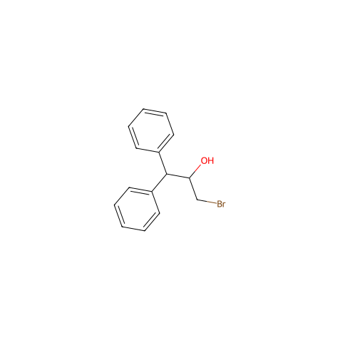 OC(CBr)C(c1ccccc1)c1ccccc1